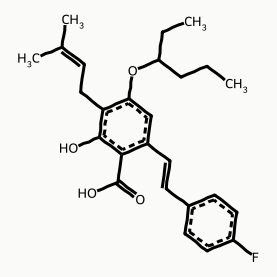 CCCC(CC)Oc1cc(C=Cc2ccc(F)cc2)c(C(=O)O)c(O)c1CC=C(C)C